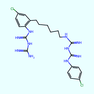 N=C(N)NC(=N)Nc1ccc(Cl)cc1CCCCCCNC(=N)NC(=N)Nc1ccc(Cl)cc1